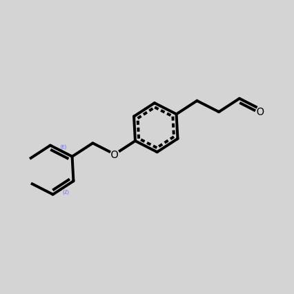 C/C=C\C(=C/C)COc1ccc(CCC=O)cc1